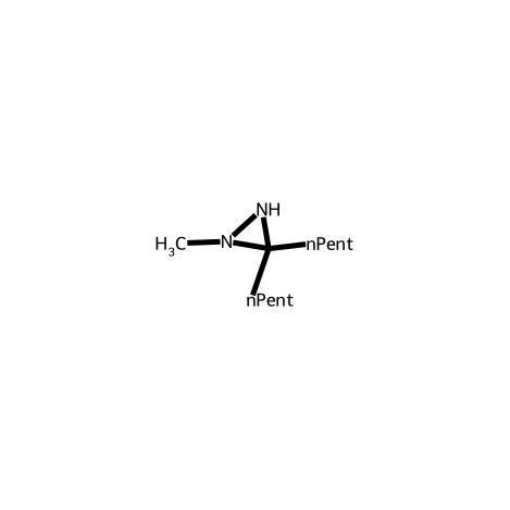 CCCCCC1(CCCCC)NN1C